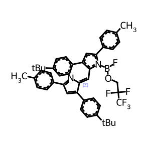 Cc1ccc(C2=N/C(=C\c3c(-c4ccc(C(C)(C)C)cc4)cc(-c4ccc(C)cc4)n3B(F)OCC(F)(F)C(F)(F)F)C(c3ccc(C(C)(C)C)cc3)=C2)cc1